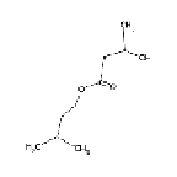 CC(C)CCOC(=O)CC(C)O